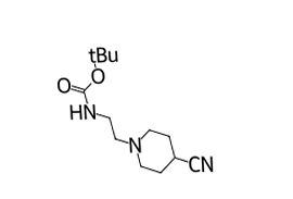 CC(C)(C)OC(=O)NCCN1CCC(C#N)CC1